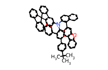 CC(C)(C)c1ccc(-c2ccc(N(c3ccc4c(c3)-c3ccccc3C43c4ccccc4-c4ccccc43)c3ccc4ccccc4c3-c3ccc4c(c3)oc3ccccc34)c(-c3ccccc3)c2)cc1